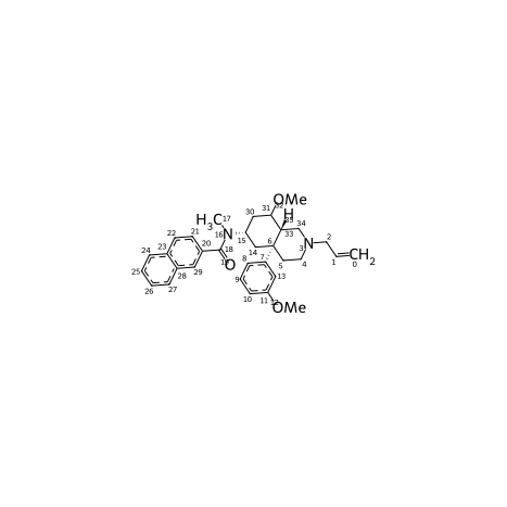 C=CCN1CC[C@@]2(c3cccc(OC)c3)C[C@H](N(C)C(=O)c3ccc4ccccc4c3)CC(OC)[C@@H]2C1